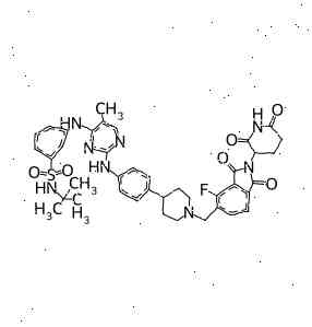 Cc1cnc(Nc2ccc(C3CCN(Cc4ccc5c(c4F)C(=O)N(C4CCC(=O)NC4=O)C5=O)CC3)cc2)nc1Nc1cccc(S(=O)(=O)NC(C)(C)C)c1